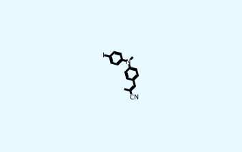 CC(C#N)=Cc1ccc(N(C)c2ccc(I)cc2)cc1